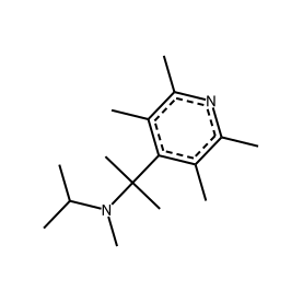 Cc1nc(C)c(C)c(C(C)(C)N(C)C(C)C)c1C